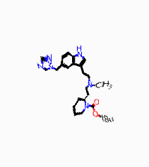 CN(CCc1c[nH]c2ccc(Cn3cncn3)cc12)CC[C@@H]1CCCCN1C(=O)OC(C)(C)C